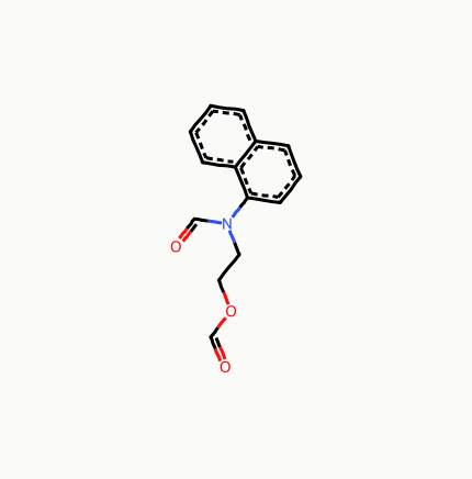 O=COCCN(C=O)c1cccc2ccccc12